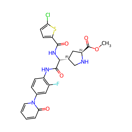 COC(=O)[C@@H]1C[C@@H](C(NC(=O)c2ccc(Cl)s2)C(=O)Nc2ccc(-n3ccccc3=O)cc2F)CN1